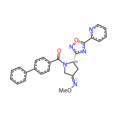 CO/N=C1/C[C@@H](c2noc(-c3ccccn3)n2)N(C(=O)c2ccc(-c3ccccc3)cc2)C1